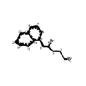 BrCCCC(Br)Cc1cccc2ccccc12